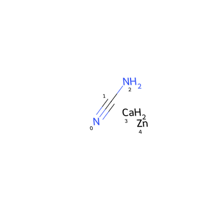 N#CN.[CaH2].[Zn]